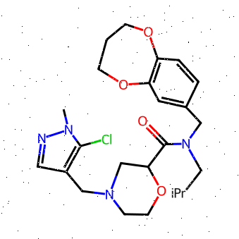 CC(C)CN(Cc1ccc2c(c1)OCCCO2)C(=O)C1CN(Cc2cnn(C)c2Cl)CCO1